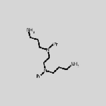 CC(C)N(CCCN)CCN(CCCN)C(C)C